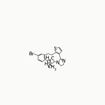 COc1ccc(Br)cc1CCc1sccc1C1=NCCN1C(C)C